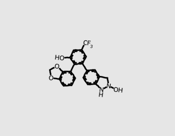 Oc1cc(C(F)(F)F)cc(-c2ccc3c(c2)CN(O)N3)c1-c1cccc2c1OCO2